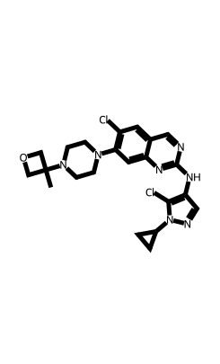 CC1(N2CCN(c3cc4nc(Nc5cnn(C6CC6)c5Cl)ncc4cc3Cl)CC2)COC1